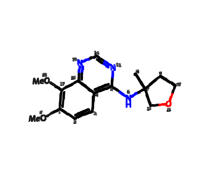 COc1ccc2c(NC3(C)CCOC3)ncnc2c1OC